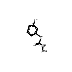 CC(C)(C)NC(=O)Oc1cccc(F)c1